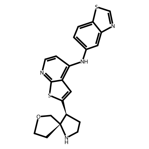 c1cc(Nc2ccc3scnc3c2)c2cc([C@H]3CCN[C@@]34CCOC4)sc2n1